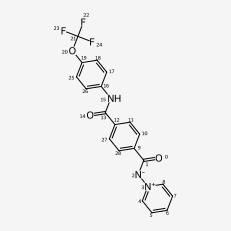 O=C([N-][n+]1ccccc1)c1ccc(C(=O)Nc2ccc(OC(F)(F)F)cc2)cc1